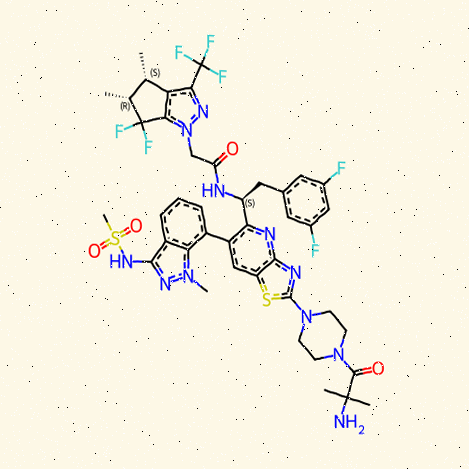 C[C@@H]1c2c(C(F)(F)F)nn(CC(=O)N[C@@H](Cc3cc(F)cc(F)c3)c3nc4nc(N5CCN(C(=O)C(C)(C)N)CC5)sc4cc3-c3cccc4c(NS(C)(=O)=O)nn(C)c34)c2C(F)(F)[C@@H]1C